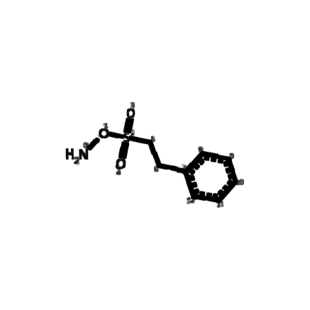 NOS(=O)(=O)CCc1ccccc1